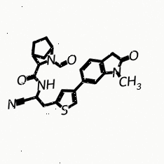 CN1C(=O)Cc2ccc(-c3csc(CC(C#N)NC(=O)C4C5CCC(C5)N4C=O)c3)cc21